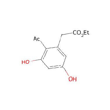 CCOC(=O)Cc1cc(O)cc(O)c1C(C)=O